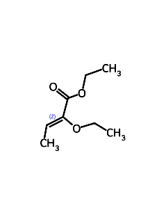 C/C=C(\OCC)C(=O)OCC